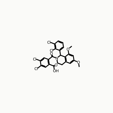 COc1cc2c(c(OC)c1)C(c1cccc(Cl)c1Cl)N(C(=O)c1cc(Cl)c(Cl)cc1C(=O)O)CC2